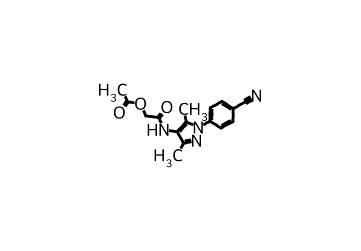 CC(=O)OCC(=O)Nc1c(C)nn(-c2ccc(C#N)cc2)c1C